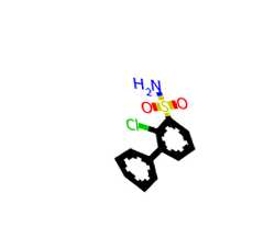 NS(=O)(=O)c1cccc(-c2ccccc2)c1Cl